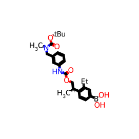 CCc1cc(B(O)O)ccc1[C@@H](C)COC(=O)Nc1cccc(CN(C)C(=O)OC(C)(C)C)c1